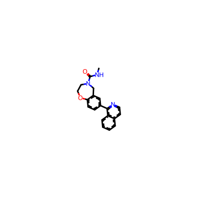 CNC(=O)N1CCOc2ccc(-c3nccc4ccccc34)cc2C1